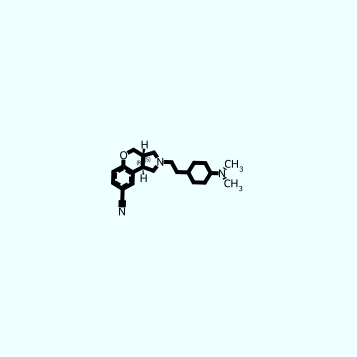 CN(C)C1CCC(CCN2C[C@H]3COc4ccc(C#N)cc4[C@@H]3C2)CC1